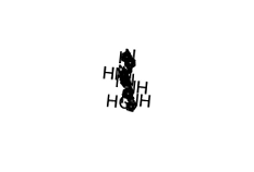 O[C@@H]1CCC[C@H]1Nc1cc(Nc2cnc3c(n2)N(Cc2ccc4ncccc4c2)NN3)ccn1